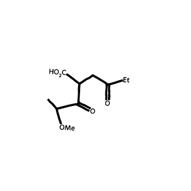 CCC(=O)CC(C(=O)O)C(=O)C(C)OC